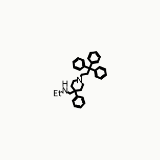 CCNCC1(c2ccccc2)CCN(CCC(c2ccccc2)(c2ccccc2)c2ccccc2)CC1